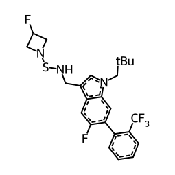 CC(C)(C)Cn1cc(CNSN2CC(F)C2)c2cc(F)c(-c3ccccc3C(F)(F)F)cc21